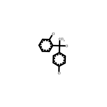 Clc1ccc(C(Cl)(c2ccccc2Cl)C(Cl)(Cl)Cl)cc1